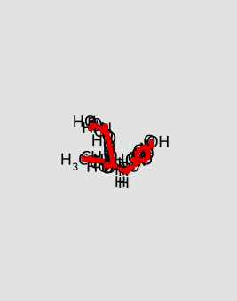 CC(C)Cc1ccc(CC(=O)NCCCC[C@H](NC(=O)[C@H](CCCCNC(=S)Nc2ccc(CCOc3cc(CN4CCOCCOCCN(Cc5cccc(C(=O)O)n5)CCOCCOCC4)nc(C(=O)O)c3)cc2)NC(=O)CCOCCOCCOCCNC(=O)COc2ccc3c(C(=O)NCC(=O)N4CCC[C@H]4B(O)I)ccnc3c2)C(=O)O)cc1